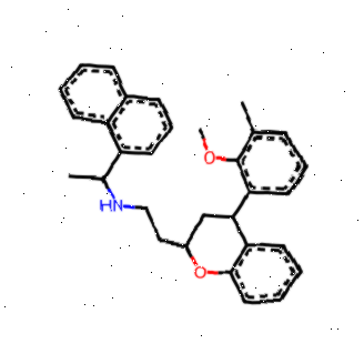 COc1c(C)cccc1C1CC(CCNC(C)c2cccc3ccccc23)Oc2ccccc21